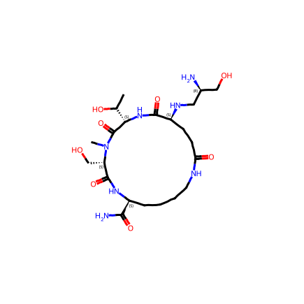 CC(O)[C@@H]1NC(=O)[C@@H](NC[C@@H](N)CO)CCC(=O)NCCCC[C@@H](C(N)=O)NC(=O)[C@H](CO)N(C)C1=O